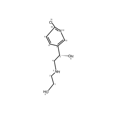 OCCNC[C@@H](O)c1ccc(Cl)nc1